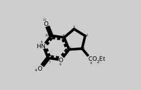 CCOC(=O)C1CCc2c1oc(=O)[nH]c2=O